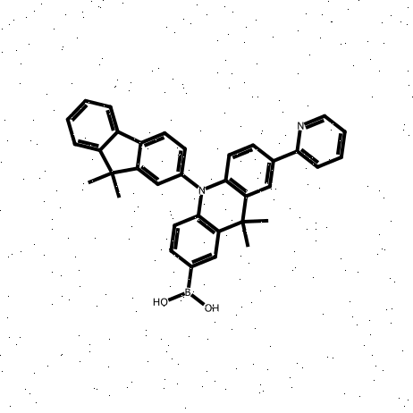 CC1(C)c2ccccc2-c2ccc(N3c4ccc(B(O)O)cc4C(C)(C)c4cc(-c5ccccn5)ccc43)cc21